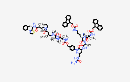 CC[C@H](C)[C@@H]([C@@H](CC(=O)N1CCC[C@H]1[C@H](OC)[C@@H](C)C(=O)N[C@@H](Cc1ccccc1)c1nccs1)OC)N(C)C(=O)[C@@H](NC(=O)C(C)(C)NC(=O)OCc1ccc(NC(=O)[C@H](CCCNC(N)=O)NC(=O)[C@@H](NC(=O)[C@H](CCCCNC(=O)OCC2c3ccccc3-c3ccccc32)NC(=O)C(C)(C)NC(=O)OCC2c3ccccc3-c3ccccc32)C(C)C)cc1)C(C)C